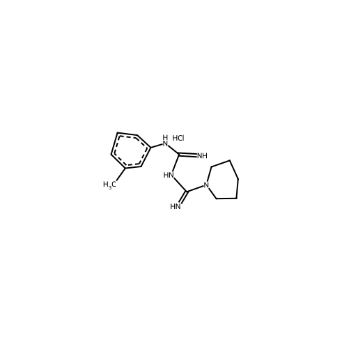 Cc1cccc(NC(=N)NC(=N)N2CCCCC2)c1.Cl